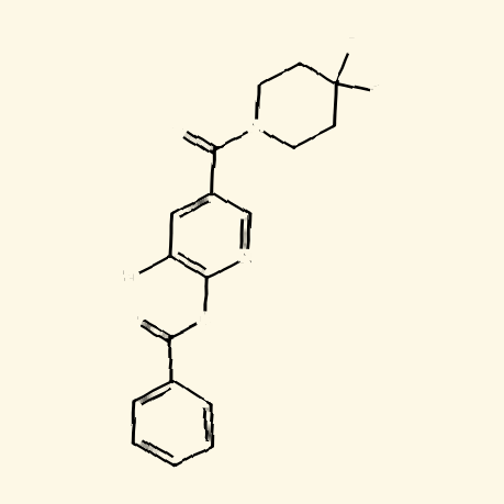 O=C(Oc1ncc(C(=O)N2CCC(F)(F)CC2)cc1Br)c1ccccc1